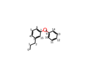 CCCc1[c]ccc(Oc2ccccc2)c1